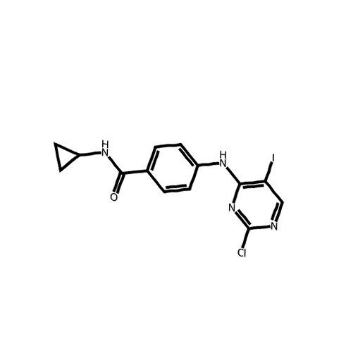 O=C(NC1CC1)c1ccc(Nc2nc(Cl)ncc2I)cc1